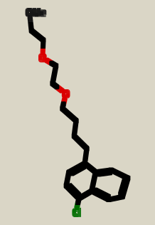 COCCOCCOCCCCc1ccc(Cl)c2ccccc12